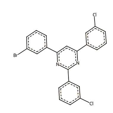 Clc1cccc(-c2cc(-c3cccc(Br)c3)nc(-c3cccc(Cl)c3)n2)c1